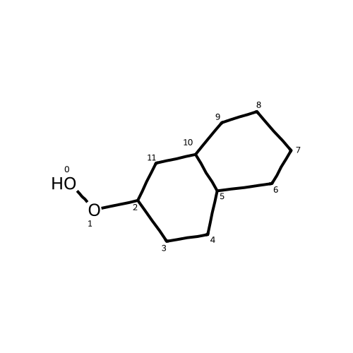 OOC1CCC2CCCCC2C1